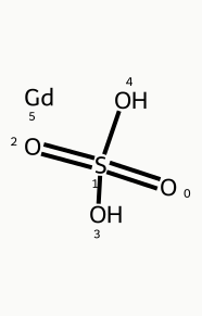 O=S(=O)(O)O.[Gd]